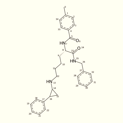 Cc1ccc(C(=O)N[C@@H](CCCCNC2CC2c2ccccc2)C(=O)NCc2ccccc2)cc1